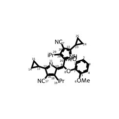 COc1cccc(OC)c1O/C(=C1/N=C(C2CC2)C(C#N)=C1C(C)C)c1[nH]c(C2CC2)c(C#N)c1C(C)C